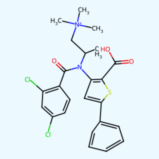 CC(C[N+](C)(C)C)N(C(=O)c1ccc(Cl)cc1Cl)c1cc(-c2ccccc2)sc1C(=O)O